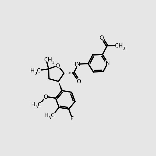 COc1c([C@H]2CC(C)(C)O[C@@H]2C(=O)Nc2ccnc(C(C)=O)c2)ccc(F)c1C